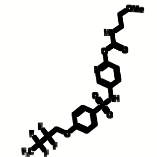 COCCNC(=O)Oc1ccc(NS(=O)(=O)c2ccc(OCC(F)(F)C(F)(F)C(F)(F)F)cc2)cn1